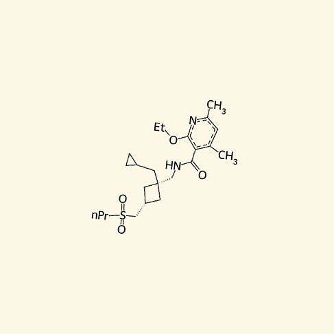 CCCS(=O)(=O)C[C@H]1C[C@](CNC(=O)c2c(C)cc(C)nc2OCC)(CC2CC2)C1